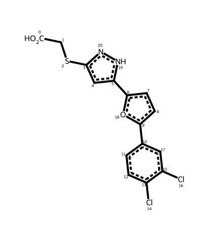 O=C(O)CSc1cc(-c2ccc(-c3ccc(Cl)c(Cl)c3)o2)[nH]n1